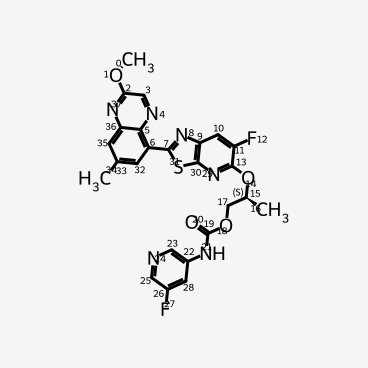 COc1cnc2c(-c3nc4cc(F)c(O[C@@H](C)COC(=O)Nc5cncc(F)c5)nc4s3)cc(C)cc2n1